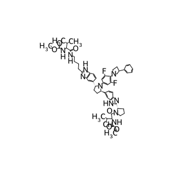 COC(=O)NC(C(=O)N1CCC[C@H]1c1nc2ccc([C@H]3CC[C@H](c4ccc5[nH]c(CCCCNC(=O)[C@@H](NC(=O)OC)C(C)C)nc5c4)N3c3cc(F)c(N4CCC(c5ccccc5)C4)c(F)c3)cc2[nH]1)C(C)C